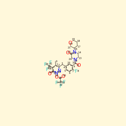 Cc1c(Cc2ccc(F)c(C(=O)N3CCN(C4CCCOC4)C(=O)C3)c2)nn(OC(=O)C(F)(F)F)c(=O)c1C(F)(F)F